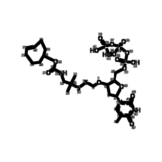 Cc1cn([C@H]2CC(OCSSC(C)(C)CNC(=O)OC3CC/C=C/CCC3)[C@@H](COP(=O)(O)OP(=O)(O)OP(=O)(O)O)O2)c(=O)[nH]c1=O